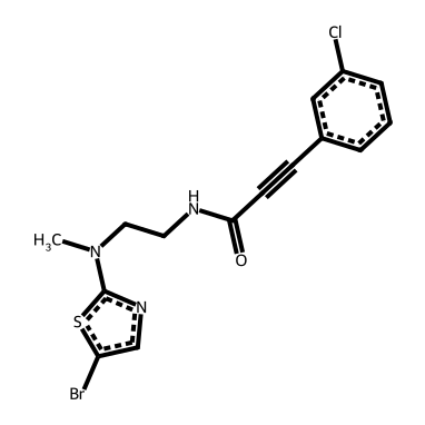 CN(CCNC(=O)C#Cc1cccc(Cl)c1)c1ncc(Br)s1